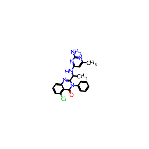 Cc1cc(NC(C)c2nc3cccc(Cl)c3c(=O)n2-c2ccccc2)nc(N)n1